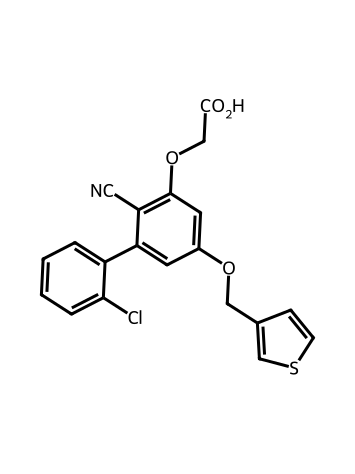 N#Cc1c(OCC(=O)O)cc(OCc2ccsc2)cc1-c1ccccc1Cl